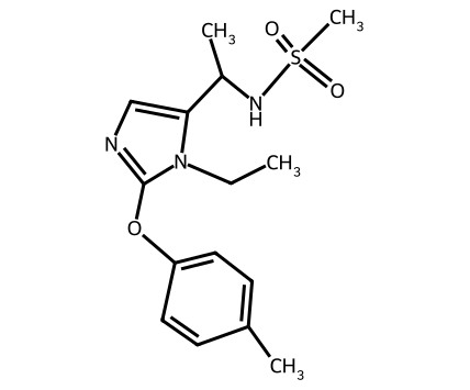 CCn1c(C(C)NS(C)(=O)=O)cnc1Oc1ccc(C)cc1